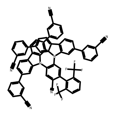 N#Cc1cccc(-c2ccc3c4ccc(-c5cccc(C#N)c5)cc4n(-c4cc(C#N)c(-c5c(C(F)(F)F)cccc5C(F)(F)F)cc4-n4c5cc(-c6cccc(C#N)c6)ccc5c5ccc(-c6cccc(C#N)c6)cc54)c3c2)c1